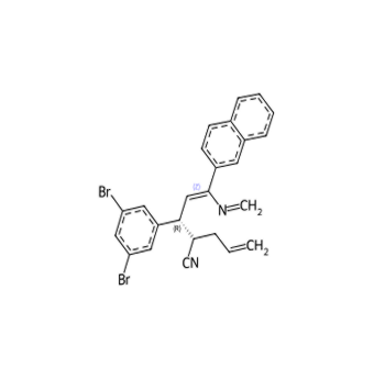 C=CCC(C#N)[C@@H](/C=C(\N=C)c1ccc2ccccc2c1)c1cc(Br)cc(Br)c1